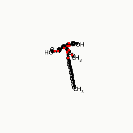 COCCSCCC[Si]1(CCCSCCOCOCOCOCOCOCOCOCOCOCOC)c2cc(-c3ccc(CO)cc3)ccc2-c2ccc(-c3ccc(CCCC(=O)O)cc3)cc21